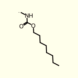 [CH2]NC(=O)OCCCCCCCC